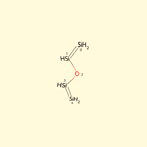 [SiH2]=[SiH]O[SiH]=[SiH2]